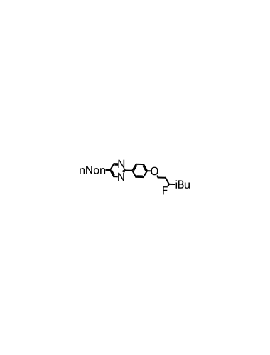 CCCCCCCCCc1cnc(-c2ccc(OCCC(F)C(C)CC)cc2)nc1